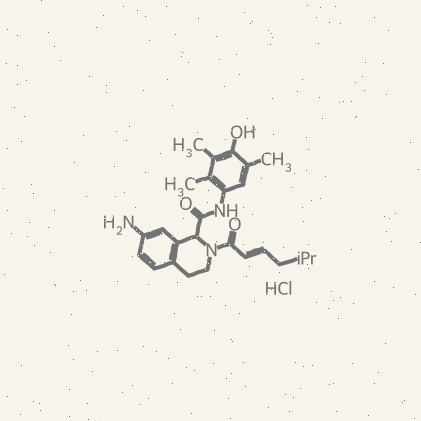 Cc1cc(NC(=O)C2c3cc(N)ccc3CCN2C(=O)/C=C/CC(C)C)c(C)c(C)c1O.Cl